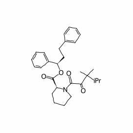 CC(C)C(C)(C)C(=O)C(=O)N1CCCC[C@H]1C(=O)O[C@H](CCc1ccccc1)c1ccccc1